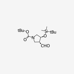 CC(C)(C)OC(=O)N1C[C@H](C=O)[C@H](O[Si](C)(C)C(C)(C)C)C1